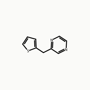 c1csc(Cc2cnccn2)c1